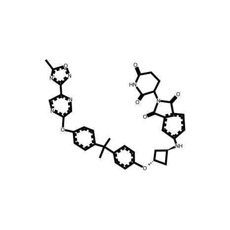 Cc1nc(-c2cnc(Oc3ccc(C(C)(C)c4ccc(O[C@H]5C[C@H](Nc6ccc7c(c6)C(=O)N(C6CCC(=O)NC6=O)C7=O)C5)cc4)cc3)cn2)no1